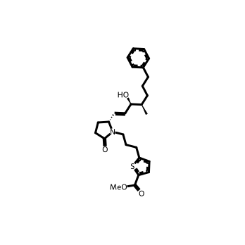 COC(=O)c1ccc(CCCN2C(=O)CC[C@@H]2C=C[C@@H](O)[C@H](C)CCCc2ccccc2)s1